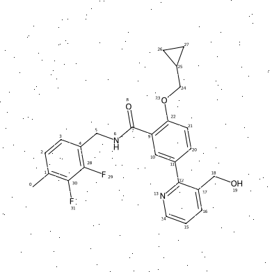 Cc1ccc(CNC(=O)c2cc(-c3ncccc3CO)ccc2OCC2CC2)c(F)c1F